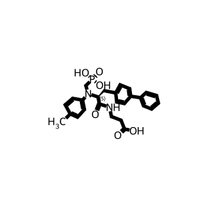 Cc1ccc(N(CP(=O)(O)O)[C@@H](Cc2ccc(-c3ccccc3)cc2)C(=O)NCCC(=O)O)cc1